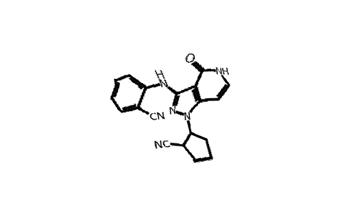 N#Cc1ccccc1Nc1nn(C2CCCC2C#N)c2cc[nH]c(=O)c12